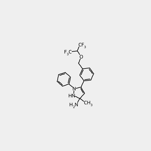 CC1(N)C=C(c2cccc(COC(C(F)(F)F)C(F)(F)F)c2)N(c2ccccc2)N1